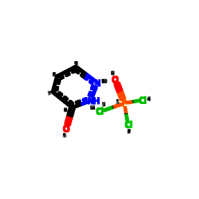 O=P(Cl)(Cl)Cl.O=c1cccn[nH]1